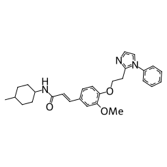 COc1cc(C=CC(=O)NC2CCC(C)CC2)ccc1OCCc1nccn1-c1ccccc1